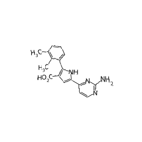 Cc1cccc(-c2[nH]c(-c3ccnc(N)n3)cc2C(=O)O)c1C